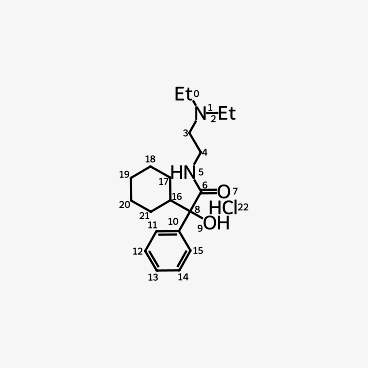 CCN(CC)CCNC(=O)C(O)(c1ccccc1)C1CCCCC1.Cl